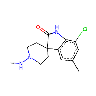 CNN1CCC2(CC1)C(=O)Nc1c(Cl)cc(C)cc12